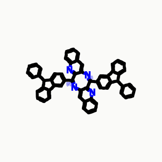 c1ccc(C2c3ccccc3-c3cc(/C4=N/c5cc6ccccc6nc5/C(c5ccc6c(c5)-c5ccccc5C6c5ccccc5)=N\c5cc6ccccc6nc54)ccc32)cc1